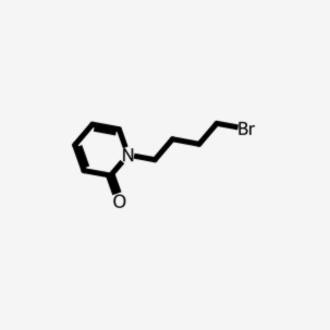 O=c1ccccn1CCCCBr